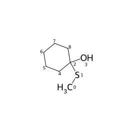 CSC1(O)CCCCC1